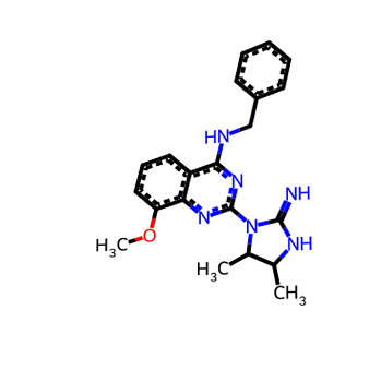 COc1cccc2c(NCc3ccccc3)nc(N3C(=N)NC(C)C3C)nc12